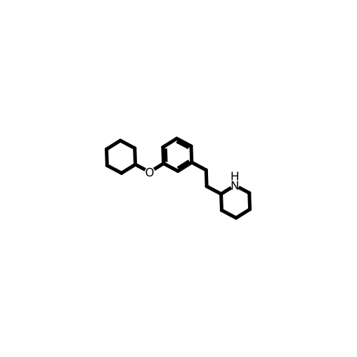 c1cc(CCC2CCCCN2)cc(OC2CCCCC2)c1